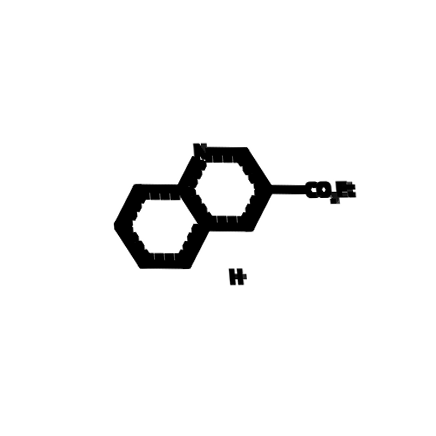 CCOC(=O)c1cnc2ccccc2c1.[H]